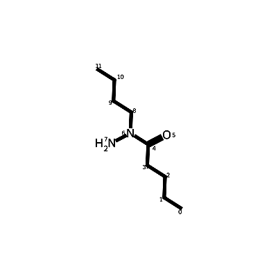 CCC[CH]C(=O)N(N)CCCC